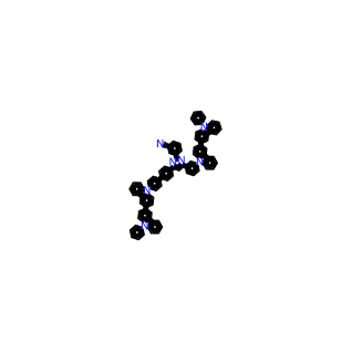 N#Cc1cccc(-c2nc(-c3ccc(-c4ccc(-n5c6ccccc6c6cc(-c7ccc8c(c7)c7ccccc7n8-c7ccccc7)ccc65)cc4)cc3)cc(-c3cccc(-n4c5ccccc5c5cc(-c6ccc7c(c6)c6ccccc6n7-c6ccccc6)ccc54)c3)n2)c1